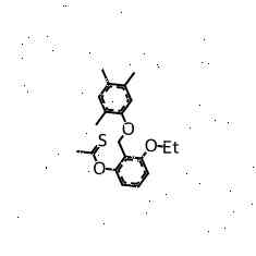 CCOc1cccc(OC(C)=S)c1COc1cc(C)c(C)cc1C